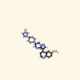 Cc1ccc2nccc(-c3cnn4cc(N5CCC(N6CCNC6)CC5)cnc34)c2c1